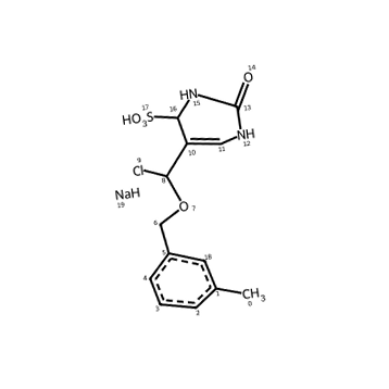 Cc1cccc(COC(Cl)C2=CNC(=O)NC2S(=O)(=O)O)c1.[NaH]